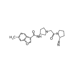 Cc1ccc2c(C(=O)NC3CCN(CC(=O)N4CCCC4C#N)C3)coc2c1